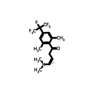 Cc1cc(C(F)(C(F)(F)F)C(F)(F)F)cc(C)c1C(=O)C/C=C\N(C)C